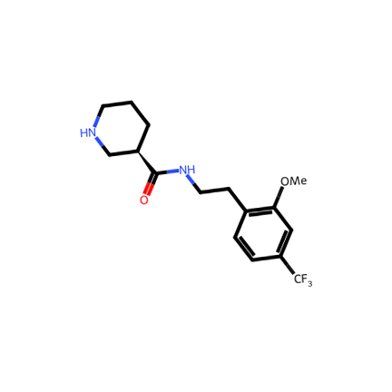 COc1cc(C(F)(F)F)ccc1CCNC(=O)[C@@H]1CCCNC1